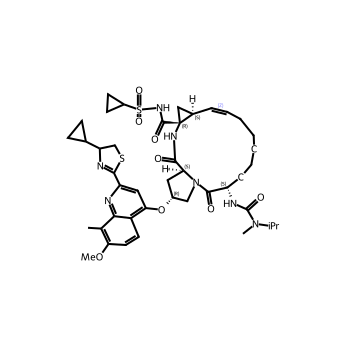 COc1ccc2c(O[C@@H]3C[C@H]4C(=O)N[C@]5(C(=O)NS(=O)(=O)C6CC6)C[C@H]5/C=C\CCCCC[C@H](NC(=O)N(C)C(C)C)C(=O)N4C3)cc(C3=NC(C4CC4)CS3)nc2c1C